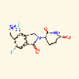 NCc1c(F)cc2c(c1F)CN(C1CCC(=O)NC1=O)C2=O